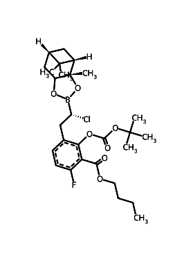 CCCCOC(=O)c1c(F)ccc(C[C@@H](Cl)B2OC3C[C@@H]4C[C@@H](C4(C)C)[C@]3(C)O2)c1OC(=O)OC(C)(C)C